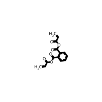 C=CC(=O)OC(=O)c1ccccc1C(=O)OC(=O)C=C